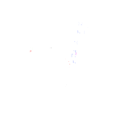 CCCCCCCC/C=C\CCCCCCCCOCC(OCCCCCCCC/C=C\CCCCCCCC)C(C)N(C)CCNC(=O)NCCCNCCCCNCCCN.O=C(O)C(F)(F)F